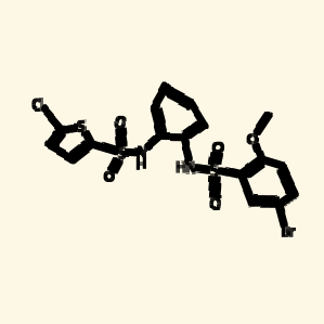 COc1ccc(Br)cc1S(=O)(=O)Nc1ccccc1NS(=O)(=O)c1ccc(Cl)s1